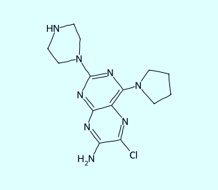 Nc1nc2nc(N3CCNCC3)nc(N3CCCC3)c2nc1Cl